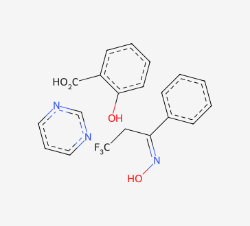 O=C(O)c1ccccc1O.ON=C(CC(F)(F)F)c1ccccc1.c1cncnc1